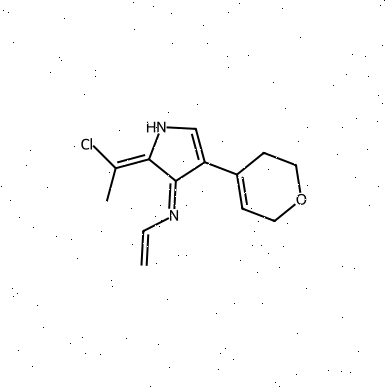 C=C/N=C1/C(C2=CCOCC2)=CN/C1=C(/C)Cl